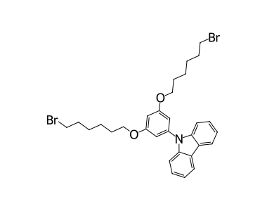 BrCCCCCCOc1cc(OCCCCCCBr)cc(-n2c3ccccc3c3ccccc32)c1